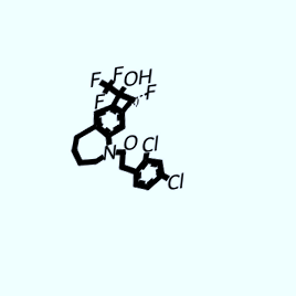 O=C(Cc1ccc(Cl)cc1Cl)N1CCCCc2cc3c(cc21)[C@@H](F)C3(O)C(F)(F)F